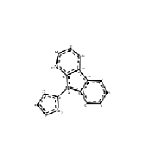 c1csc(-n2c3ccccc3c3cccnc32)c1